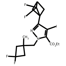 CCOC(=O)c1c(I)c(C23CC(C2)C3(F)F)nn1CC1(C)CC(F)(F)C1